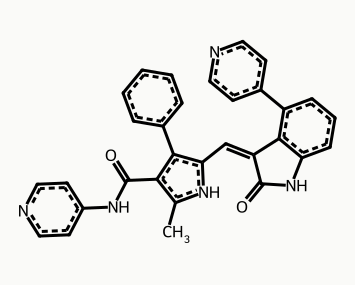 Cc1[nH]c(C=C2C(=O)Nc3cccc(-c4ccncc4)c32)c(-c2ccccc2)c1C(=O)Nc1ccncc1